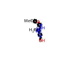 COc1ccc(Oc2ccc(Nc3nc(C)nc(N4CCN(CCO)CC4)n3)nc2)cc1